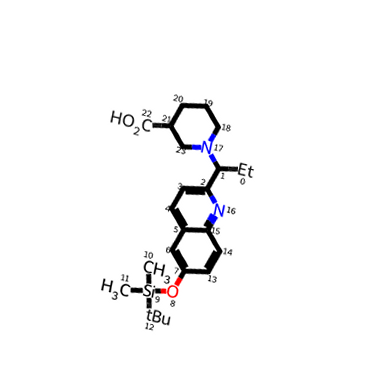 CCC(c1ccc2cc(O[Si](C)(C)C(C)(C)C)ccc2n1)N1CCCC(C(=O)O)C1